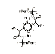 CCCCCC(C)(C)OC(=O)C(CCC)c1cc(O)c(C(CCC)C(=O)OC(C)(C)CCCCC)cc1O